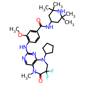 COc1cc(C(=O)NC2CC(C)(C)NC(C)(C)C2)ccc1Nc1ncc2c(n1)N(C1CCCC1)CC(F)(F)C(=O)N2C